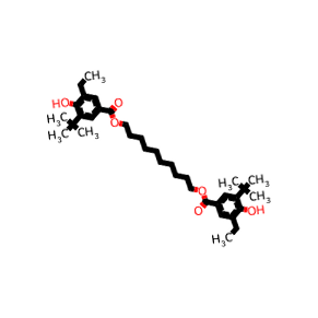 CCc1cc(C(=O)OCCCCCCCCCCOC(=O)c2cc(CC)c(O)c(C(C)(C)C)c2)cc(C(C)(C)C)c1O